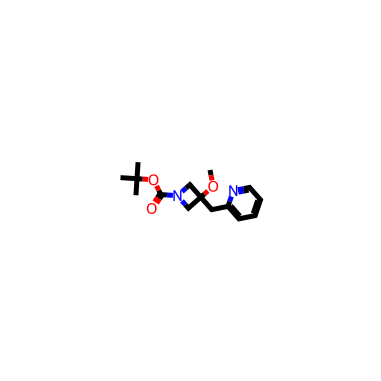 COC1(Cc2ccccn2)CN(C(=O)OC(C)(C)C)C1